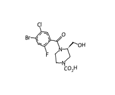 O=C(O)N1CCN(C(=O)c2cc(Cl)c(Br)cc2F)[C@@H](CO)C1